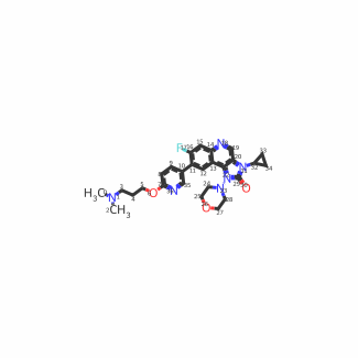 CN(C)CCCOc1ccc(-c2cc3c(cc2F)ncc2c3n(N3CCOCC3)c(=O)n2C2CC2)cn1